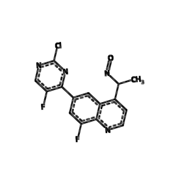 CC(N=O)c1ccnc2c(F)cc(-c3nc(Cl)ncc3F)cc12